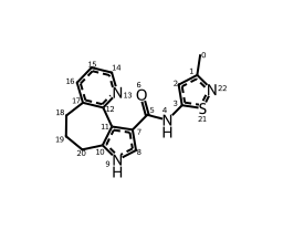 Cc1cc(NC(=O)c2c[nH]c3c2-c2ncccc2CCC3)sn1